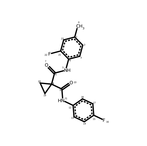 Cc1ccc(NC(=O)C2(C(=O)Nc3ccc(F)cc3)CC2)c(F)c1